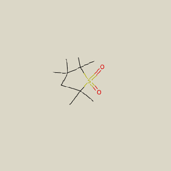 CC1(C)CC(C)(C)S(=O)(=O)C1(C)C